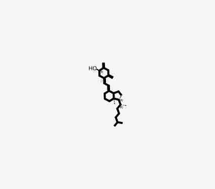 C=C1CC(=C)[C@H](O)C/C1=C/C=C1CCC[C@@]2(C)C1CC[C@@H]2[C@H](C)CCCC(C)C